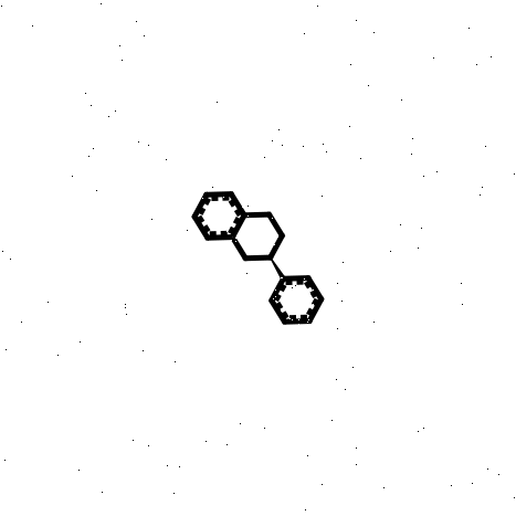 c1ccc([C@@H]2CCc3ccccc3C2)cc1